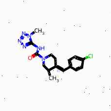 CC1CN(C(=O)Nc2nnnn2C)CC/C1=C\c1ccc(Cl)cc1